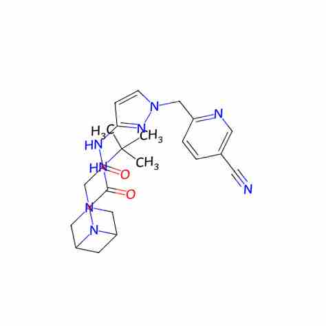 CC(C)(C)NC(=O)CN1C2CC1CN(CC(=O)Nc1ccn(Cc3ccc(C#N)cn3)n1)C2